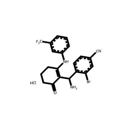 Cl.N#Cc1ccc(C(N)C2=C(Nc3cccc(C(F)(F)F)c3)CCCC2=O)c(Br)c1